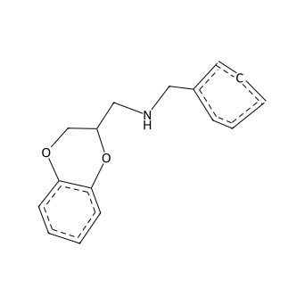 c1ccc(CNCC2COc3ccccc3O2)cc1